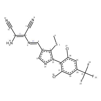 CSc1c(/C=N/C(C#N)=C(\N)C#N)cnn1-c1c(Cl)cc(C(F)(F)F)cc1Cl